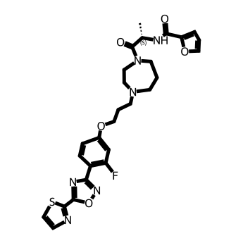 C[C@H](NC(=O)c1ccco1)C(=O)N1CCCN(CCCOc2ccc(-c3noc(-c4nccs4)n3)c(F)c2)CC1